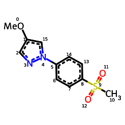 COc1cnn(-c2ccc(S(C)(=O)=O)cc2)c1